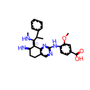 CN/C(=C1\C(=N)CCc2cnc(Nc3ccc(C(=O)O)cc3OC)nc21)C(C)c1ccccc1